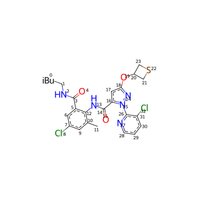 CCC(C)CNC(=O)c1cc(Cl)cc(C)c1NC(=O)c1cc(OC2CSC2)nn1-c1ncccc1Cl